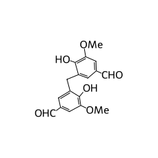 COc1cc(C=O)cc(Cc2cc(C=O)cc(OC)c2O)c1O